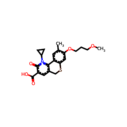 COCCCOc1cc2c(cc1C)-c1c(cc(C(=O)O)c(=O)n1C1CC1)CS2